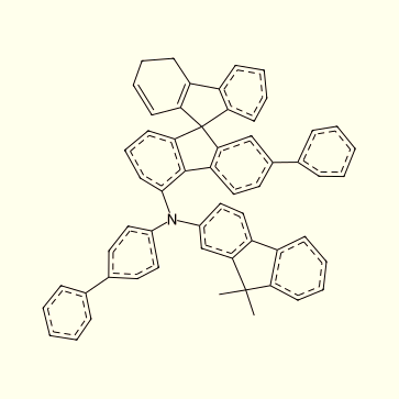 CC1(C)c2ccccc2-c2ccc(N(c3ccc(-c4ccccc4)cc3)c3cccc4c3-c3ccc(-c5ccccc5)cc3C43C4=C(CCC=C4)c4ccccc43)cc21